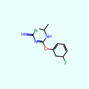 CC(C)N/C(=N\C(=N)Br)OC1=CC=CC(F)C1